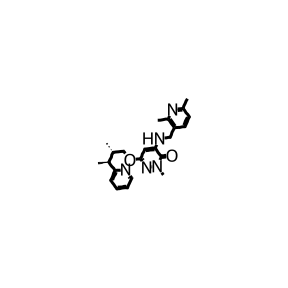 Cc1ccc(CNc2cc(OC[C@@H](C)[C@H](C)c3ccccn3)nn(C)c2=O)c(C)n1